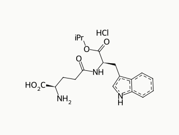 CC(C)OC(=O)[C@@H](Cc1c[nH]c2ccccc12)NC(=O)CC[C@@H](N)C(=O)O.Cl